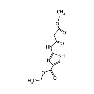 CCOC(=O)CC(=O)Nc1nc(C(=O)OCC)c[nH]1